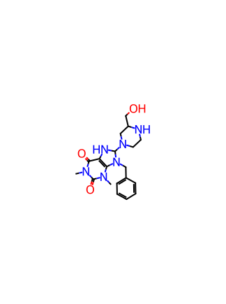 Cn1c2c(c(=O)n(C)c1=O)NC(N1CCNC(CO)C1)N2Cc1ccccc1